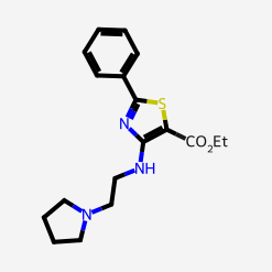 CCOC(=O)c1sc(-c2ccccc2)nc1NCCN1CCCC1